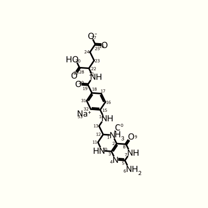 CN1c2c(nc(N)[nH]c2=O)NCC1CNc1ccc(C(=O)NC(CCC(=O)[O-])C(=O)O)cc1.[Na+]